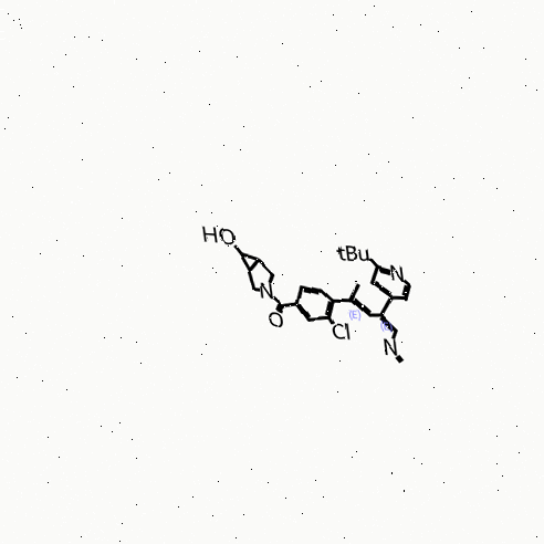 C=N/C=C(\C=C(/C)c1ccc(C(=O)N2CC3C(O)C3C2)cc1Cl)c1ccnc(C(C)(C)C)c1